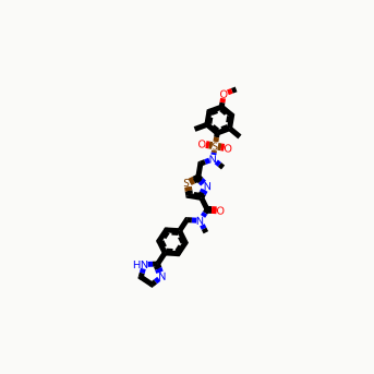 COc1cc(C)c(S(=O)(=O)N(C)Cc2nc(C(=O)N(C)Cc3ccc(C4=NCCN4)cc3)cs2)c(C)c1